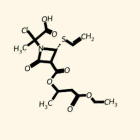 C=CS[C@@H]1C(C(=O)OC(C)CC(=O)OCC)C(=O)N1C(C)(Cl)C(=O)O